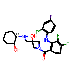 O=C(c1ccc(F)c(F)c1Nc1ccc(I)cc1F)N1CC(O)(CN[C@@H]2CCCCC2O)C1